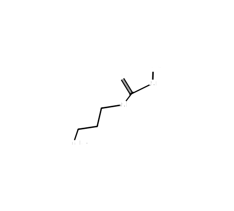 CCCCCCCCCNC(=O)NCCC